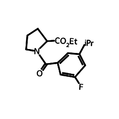 CCOC(=O)C1CCCN1C(=O)c1cc(F)cc(C(C)C)c1